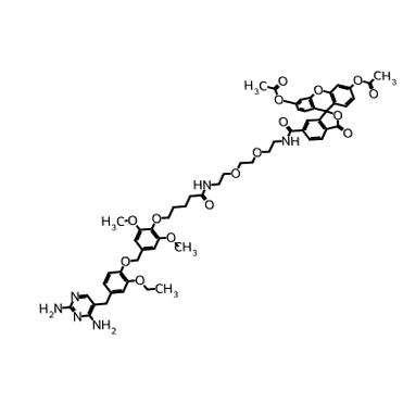 CCOc1cc(Cc2cnc(N)nc2N)ccc1OCc1cc(OC)c(OCCCCC(=O)NCCOCCOCCNC(=O)c2ccc3c(c2)C2(OC3=O)c3ccc(OC(C)=O)cc3Oc3cc(OC(C)=O)ccc32)c(OC)c1